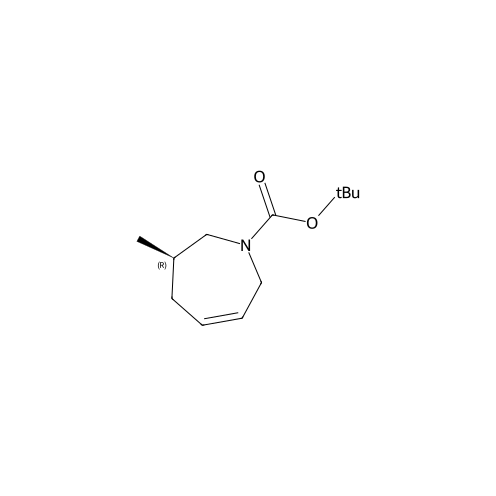 C[C@@H]1CC=CCN(C(=O)OC(C)(C)C)C1